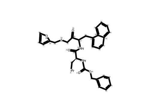 CC(C)C[C@H](NC(=O)OCc1ccccc1)C(=O)NC(Cc1cccc2ccccc12)C(=O)CSCc1ccco1